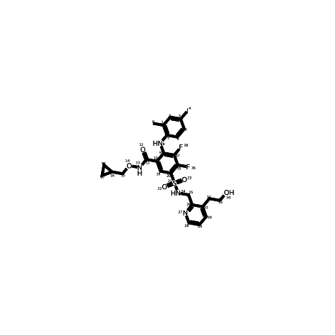 Cc1cc(I)ccc1Nc1c(C(=O)NOCC2CC2)cc(S(=O)(=O)NCc2ncccc2CCO)c(F)c1F